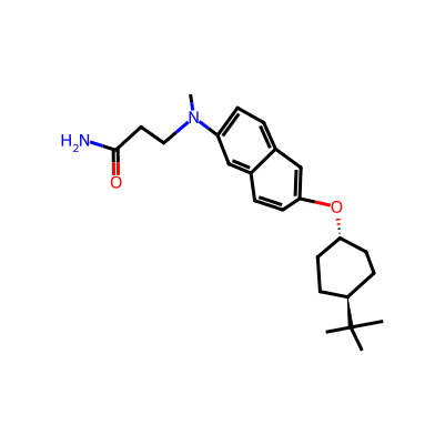 CN(CCC(N)=O)c1ccc2cc(O[C@H]3CC[C@H](C(C)(C)C)CC3)ccc2c1